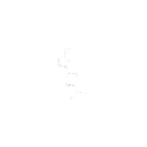 Cc1cnn(-c2cnc(B(O)O)cn2)c1